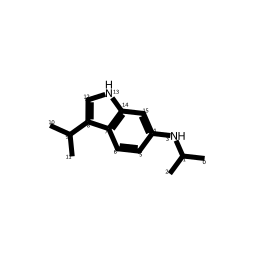 CC(C)Nc1ccc2c(C(C)C)c[nH]c2c1